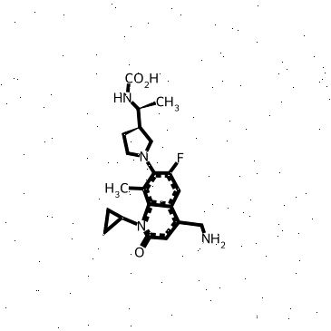 Cc1c(N2CC[C@@H]([C@H](C)NC(=O)O)C2)c(F)cc2c(CN)cc(=O)n(C3CC3)c12